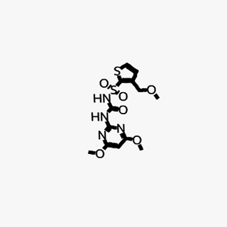 COCc1ccsc1S(=O)(=O)NC(=O)Nc1nc(OC)cc(OC)n1